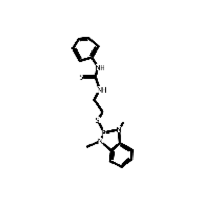 CN1c2ccccc2N(C)P1SCCNC(=S)Nc1ccccc1